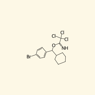 N=C(OC(c1ccc(Br)cc1)C1CCCCC1)C(Cl)(Cl)Cl